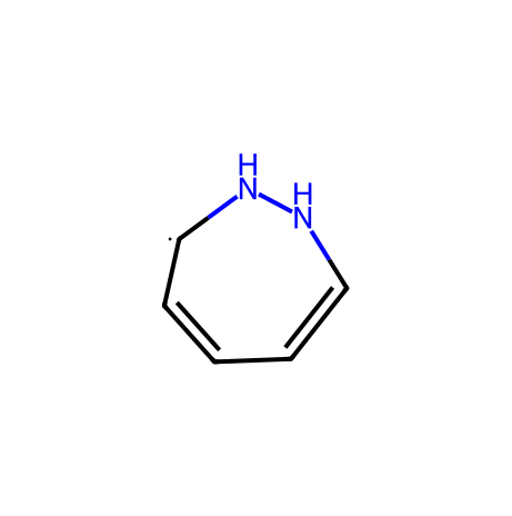 [CH]1C=CC=CNN1